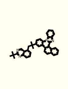 CC(C)(C)c1ncc2c(CC(C)(C)c3ccc4c(c3)c3ccc5ccccc5c3c3nc5ccccc5n43)cccc2n1